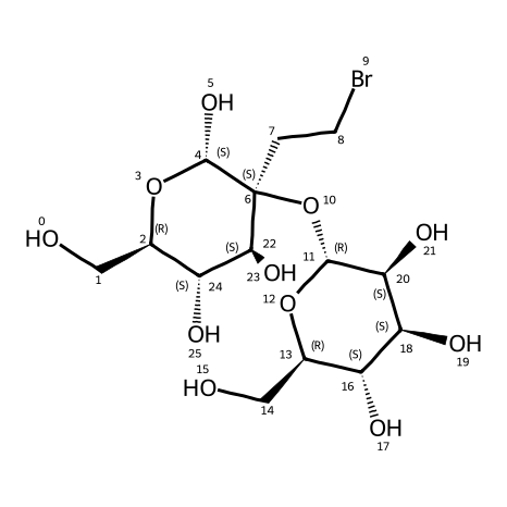 OC[C@H]1O[C@H](O)[C@@](CCBr)(O[C@H]2O[C@H](CO)[C@@H](O)[C@H](O)[C@@H]2O)[C@@H](O)[C@@H]1O